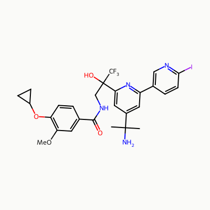 COc1cc(C(=O)NCC(O)(c2cc(C(C)(C)N)cc(-c3ccc(I)nc3)n2)C(F)(F)F)ccc1OC1CC1